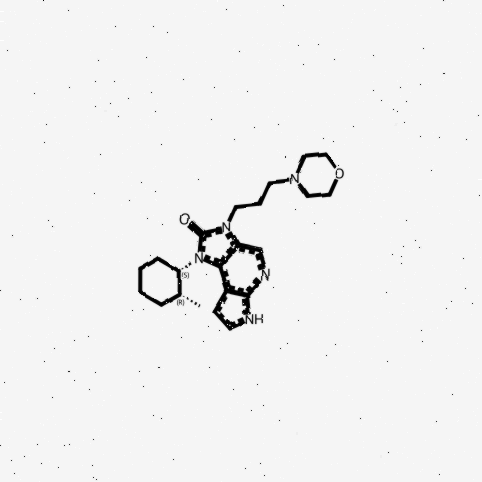 C[C@@H]1CCCC[C@@H]1n1c(=O)n(CCCN2CCOCC2)c2cnc3[nH]ccc3c21